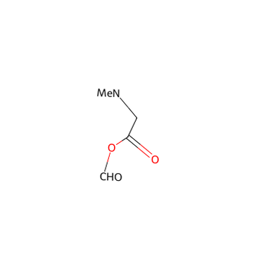 CNCC(=O)OC=O